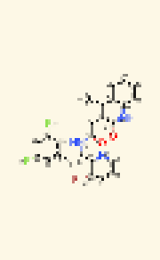 Cc1c(CC(=O)N[C@@H](Cc2cc(F)cc(F)c2)c2ncccc2Br)c(=O)[nH]c2ccccc12